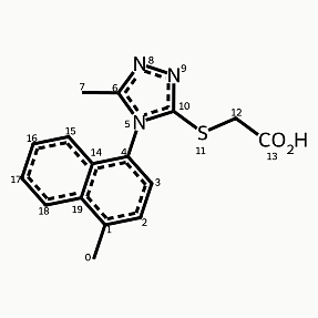 Cc1ccc(-n2c(C)nnc2SCC(=O)O)c2ccccc12